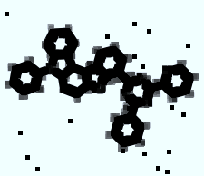 C1=CC2C(c3ccccc3N2c2ccccc2)c2c1oc1c(-c3nc(-c4ccccc4)nc(-c4ccccn4)n3)cccc21